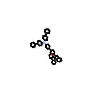 C1=C(c2ccc(-c3ccc(N(c4ccc(-c5ccccc5)cc4)c4ccc(-c5ccccc5)cc4)cc3)cc2)C2(c3ccccc31)c1ccccc1-c1ccccc12